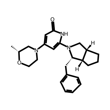 C[C@@H]1CN(c2cc(N3C[C@@H]4CCC[C@@H]4[C@@H]3Cc3ccccc3)[nH]c(=O)c2)CCO1